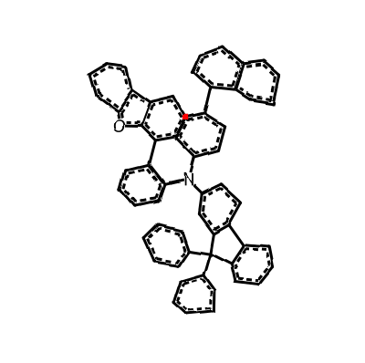 c1ccc(C2(c3ccccc3)c3ccccc3-c3ccc(N(c4ccc(-c5cccc6ccccc56)cc4)c4ccccc4-c4cccc5c4oc4ccccc45)cc32)cc1